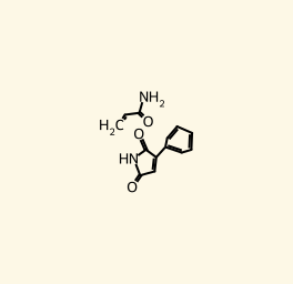 C=CC(N)=O.O=C1C=C(c2ccccc2)C(=O)N1